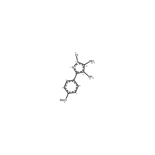 CCn1nc(-c2ccc(OC)cc2)c(N)c1N